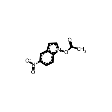 CC(=O)On1ccc2cc([N+](=O)[O-])ccc21